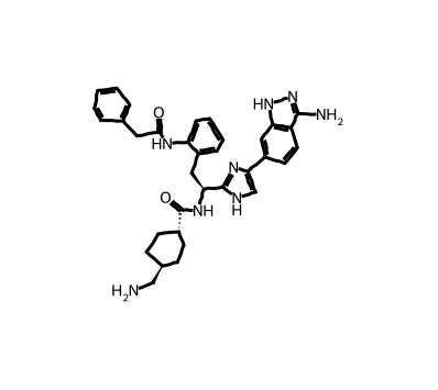 NC[C@H]1CC[C@H](C(=O)N[C@@H](Cc2ccccc2NC(=O)Cc2ccccc2)c2nc(-c3ccc4c(N)n[nH]c4c3)c[nH]2)CC1